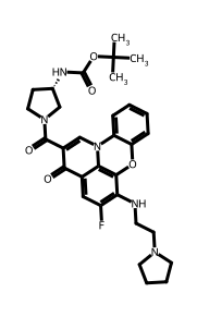 CC(C)(C)OC(=O)N[C@H]1CCN(C(=O)c2cn3c4c(c(NCCN5CCCC5)c(F)cc4c2=O)Oc2ccccc2-3)C1